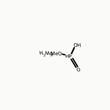 CO[PH](=O)O.[MgH2]